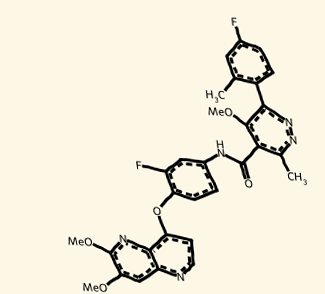 COc1cc2nccc(Oc3ccc(NC(=O)c4c(C)nnc(-c5ccc(F)cc5C)c4OC)cc3F)c2nc1OC